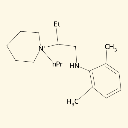 CCC[N+]1(C(CC)CNc2c(C)cccc2C)CCCCC1